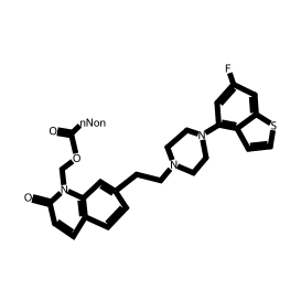 CCCCCCCCCC(=O)OCn1c(=O)ccc2ccc(CCN3CCN(c4cc(F)cc5sccc45)CC3)cc21